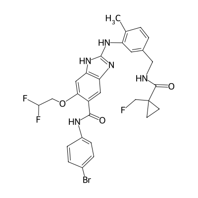 Cc1ccc(CNC(=O)C2(CF)CC2)cc1Nc1nc2cc(C(=O)Nc3ccc(Br)cc3)c(OCC(F)F)cc2[nH]1